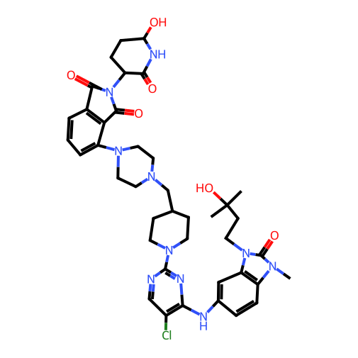 Cn1c(=O)n(CCC(C)(C)O)c2cc(Nc3nc(N4CCC(CN5CCN(c6cccc7c6C(=O)N(C6CCC(O)NC6=O)C7=O)CC5)CC4)ncc3Cl)ccc21